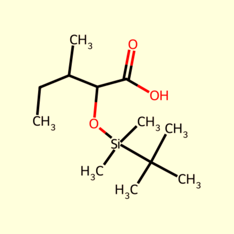 CCC(C)C(O[Si](C)(C)C(C)(C)C)C(=O)O